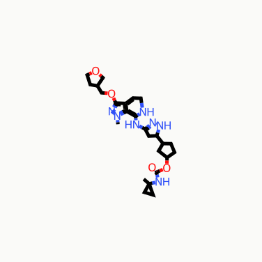 Cn1nc(OCC2CCOC2)c2c1=C(NC1=NNC(C3CCC(OC(=O)NC4(C)CC4)C3)C1)NCC=2